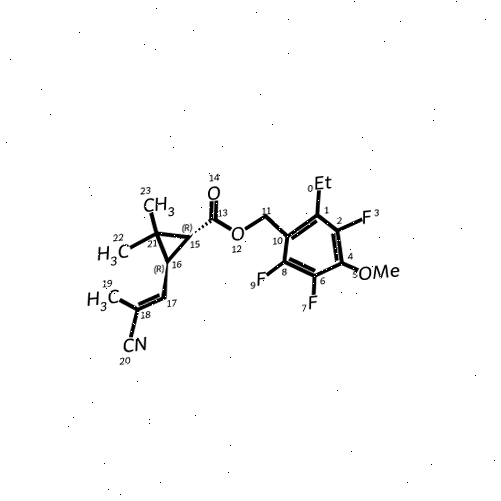 CCc1c(F)c(OC)c(F)c(F)c1COC(=O)[C@@H]1[C@@H](C=C(C)C#N)C1(C)C